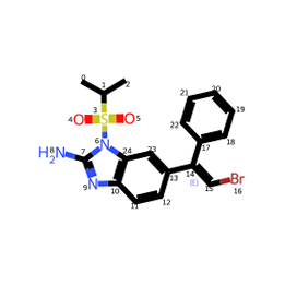 CC(C)S(=O)(=O)n1c(N)nc2ccc(/C(=C/Br)c3ccccc3)cc21